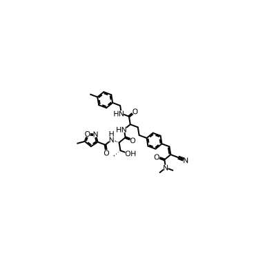 Cc1ccc(CNC(=O)C(CCc2ccc(C=C(C#N)C(=O)N(C)C)cc2)NC(=O)[C@@H](NC(=O)c2cc(C)on2)[C@@H](C)O)cc1